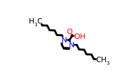 CCCCCCCN1C=CCN(CCCCCCC)C1C(=O)O